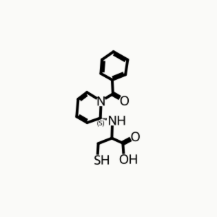 O=C(O)C(CS)N[C@@H]1C=CC=CN1C(=O)c1ccccc1